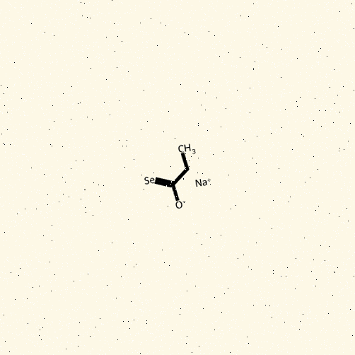 CCC([O-])=[Se].[Na+]